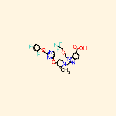 C[C@H]1C[C@@H](Oc2ccnc(COc3ccc(F)cc3F)n2)CCN1Cc1nc2ccc(C(=O)O)cc2n1CCOCC(F)(F)F